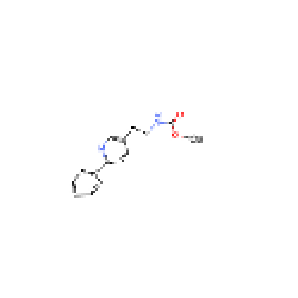 CC(C)(C)OC(=O)NCCc1ccc(-c2ccccc2)nc1